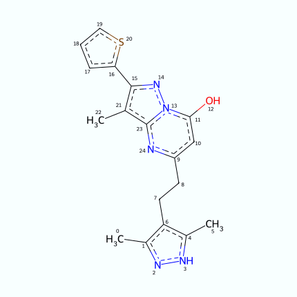 Cc1n[nH]c(C)c1CCc1cc(O)n2nc(-c3cccs3)c(C)c2n1